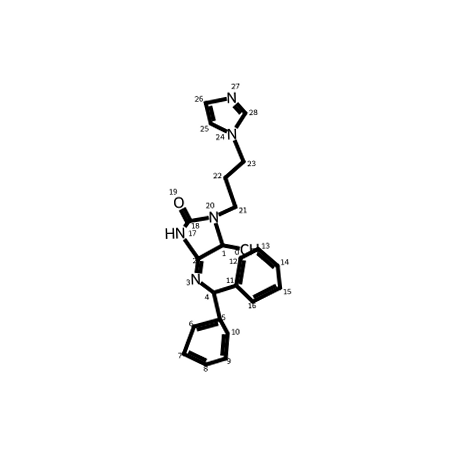 CC1/C(=N\C(c2ccccc2)c2ccccc2)NC(=O)N1CCCn1ccnc1